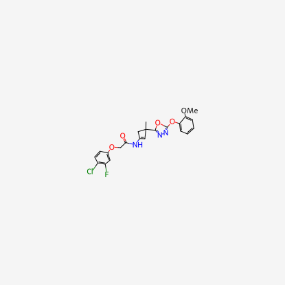 COc1ccccc1Oc1nnc(C2(C)C=C(NC(=O)COc3ccc(Cl)c(F)c3)C2)o1